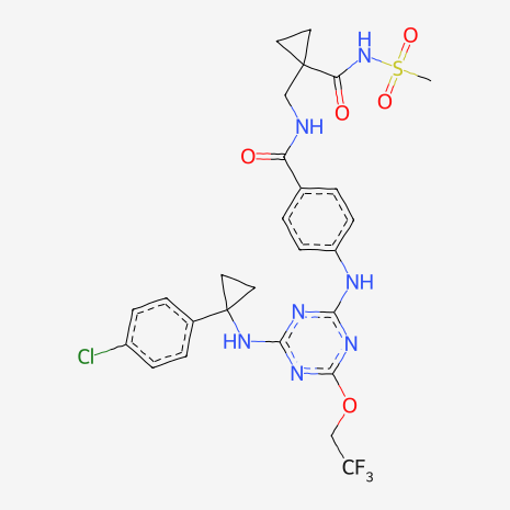 CS(=O)(=O)NC(=O)C1(CNC(=O)c2ccc(Nc3nc(NC4(c5ccc(Cl)cc5)CC4)nc(OCC(F)(F)F)n3)cc2)CC1